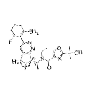 BC1=C(c2cc3c(nn2)[C@@]2([C@H](C)N(CC)C(=O)c4coc(C(C)(C)O)n4)CC[C@@H]3C2=C)C(F)=CCC1